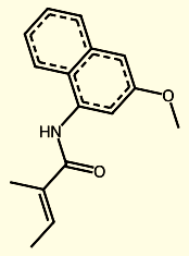 C/C=C(\C)C(=O)Nc1cc(OC)cc2ccccc12